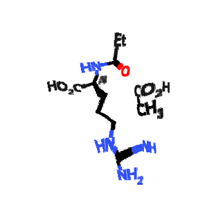 CC(=O)O.CCC(=O)N[C@@H](CCCNC(=N)N)C(=O)O